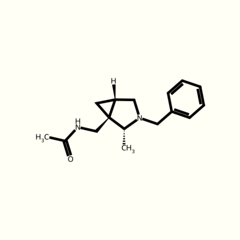 CC(=O)NC[C@@]12C[C@@H]1CN(Cc1ccccc1)[C@@H]2C